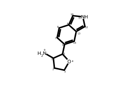 NC1CCOC1c1ccc2c[nH]cc2c1